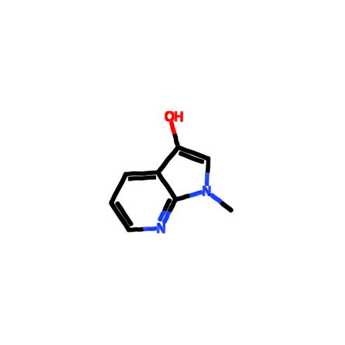 Cn1cc(O)c2cccnc21